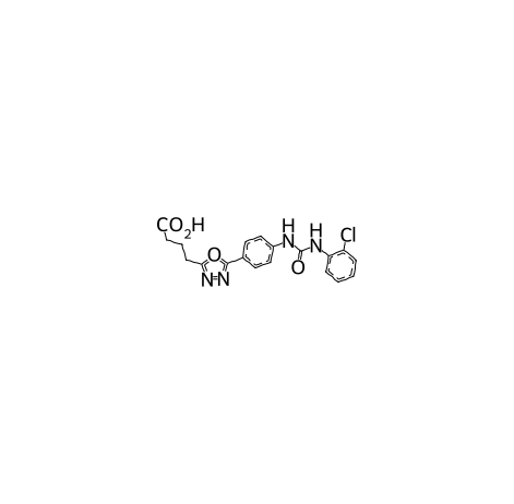 O=C(O)CCCc1nnc(-c2ccc(NC(=O)Nc3ccccc3Cl)cc2)o1